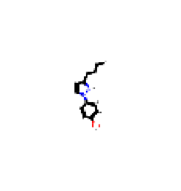 CCCCc1ccn(-c2ccc(O)cc2)n1